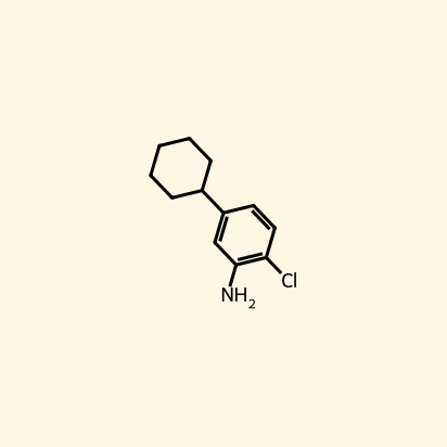 Nc1cc(C2CCCCC2)ccc1Cl